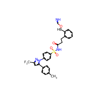 Cc1ccc(-c2cc(C(F)(F)F)nn2-c2ccc(S(=O)(=O)NC(=O)CCc3ccccc3BOC=N)cc2)cc1